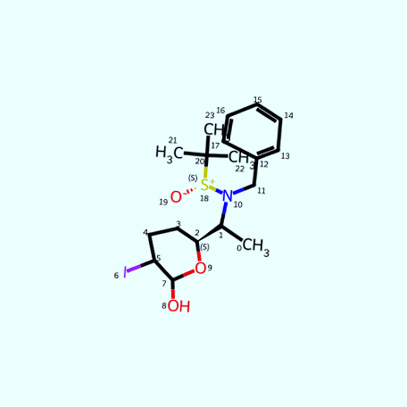 CC([C@@H]1CCC(I)C(O)O1)N(Cc1ccccc1)[S@+]([O-])C(C)(C)C